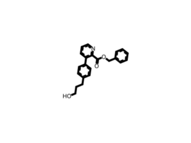 O=C(OCc1ccccc1)c1ncccc1-c1ccc(CCCO)cc1